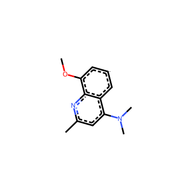 COc1c[c]cc2c(N(C)C)cc(C)nc12